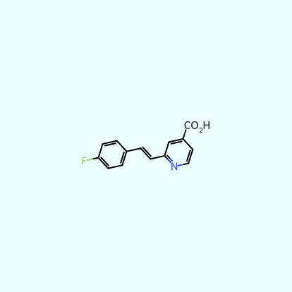 O=C(O)c1ccnc(C=Cc2ccc(F)cc2)c1